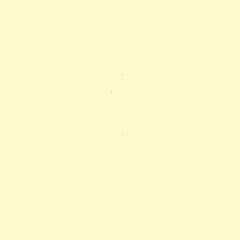 O=CC(=O)C1CC=NN1